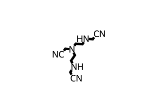 N#CCNCCN(CC#N)CCNCC#N